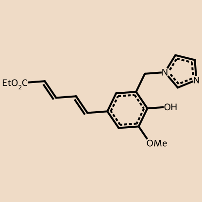 CCOC(=O)C=CC=Cc1cc(Cn2ccnc2)c(O)c(OC)c1